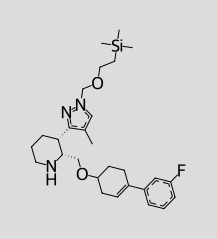 Cc1cn(COCC[Si](C)(C)C)nc1[C@H]1CCCN[C@H]1COC1CC=C(c2cccc(F)c2)CC1